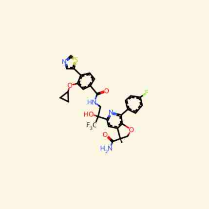 C[C@]1(C(N)=O)COc2c1cc(C(O)(CNC(=O)c1ccc(-c3cncs3)c(OC3CC3)c1)C(F)(F)F)nc2-c1ccc(F)cc1